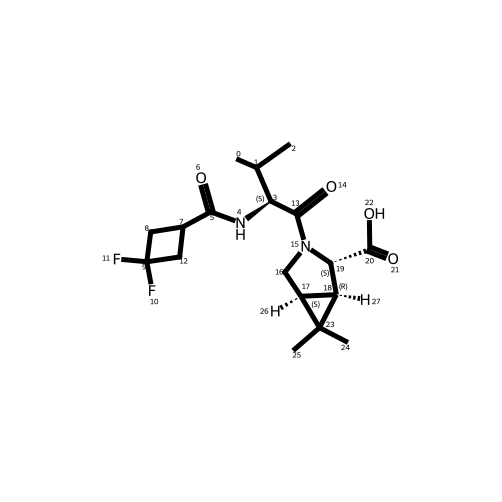 CC(C)[C@H](NC(=O)C1CC(F)(F)C1)C(=O)N1C[C@H]2[C@@H]([C@H]1C(=O)O)C2(C)C